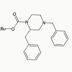 CC(C)(C)OC(=O)N1CCN(Cc2ccccc2)CC1Cc1ccccc1